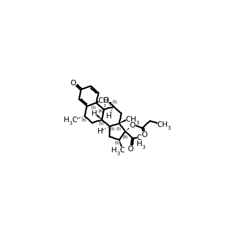 CCC(=O)O[C@]1(C(C)=O)[C@@H](C)C[C@H]2[C@@H]3C[C@H](C)C4=CC(=O)C=C[C@]4(C)[C@]34O[C@H]4C[C@@]21C